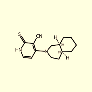 N#Cc1c(N2CC[C@@H]3CCCC[C@@H]3C2)cc[nH]c1=S